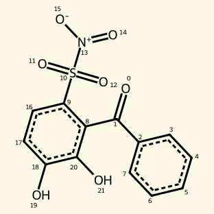 O=C(c1ccccc1)c1c(S(=O)(=O)[N+](=O)[O-])ccc(O)c1O